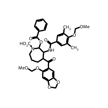 COCOc1cc2c(cc1C(=O)C1CCCN(C(=O)O)C(OC(=O)c3ccccc3)C1NC(=O)c1cc(C)c(OCOC)c(C)c1)OCO2